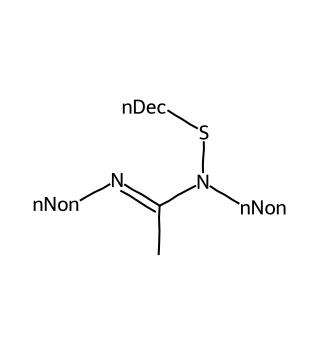 CCCCCCCCCCSN(CCCCCCCCC)C(C)=NCCCCCCCCC